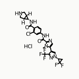 Cl.Cn1c(-c2cn([C@H]3CC3(F)F)nc2C(F)(F)F)cnc1C(=O)Nc1ccc(C(=O)N[C@@H]2[C@@H]3CNC[C@@H]32)c(Cl)c1